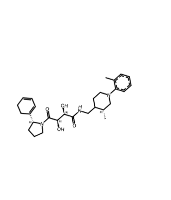 Cc1ccccc1N1CCC(CNC(=O)[C@H](O)[C@@H](O)C(=O)N2CCC[C@@H]2C2=CC=CCC2)[C@@H](C)C1